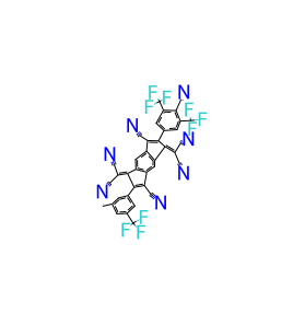 Cc1cc(C2=C(C#N)c3cc4c(cc3C2=C(C#N)C#N)C(C#N)=C(c2cc(C(F)(F)F)c(C#N)c(C(F)(F)F)c2)C4=C(C#N)C#N)cc(C(F)(F)F)c1